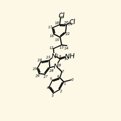 Cc1ccccc1Cn1c(=N)n(CC(C)c2ccc(Cl)c(Cl)c2)c2ccccc21